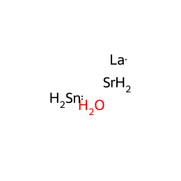 O.[La].[SnH2].[SrH2]